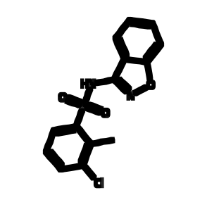 Cc1c(Cl)cccc1S(=O)(=O)Nc1noc2ccccc12